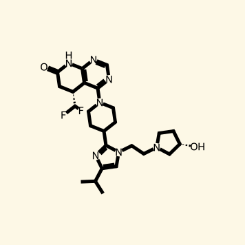 CC(C)c1cn(CCN2CC[C@H](O)C2)c(C2CCN(c3ncnc4c3[C@H](C(F)F)CC(=O)N4)CC2)n1